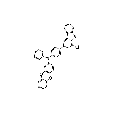 Clc1cc(-c2ccc(N(c3ccccc3)c3ccc4c(c3)Oc3ccccc3O4)cc2)cc2c1sc1ccccc12